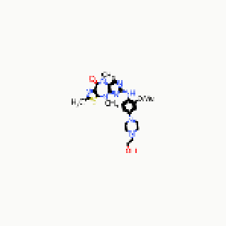 COc1cc(N2CCN(CCO)CC2)ccc1Nc1ncc2c(n1)N(C)c1sc(C)nc1C(=O)N2C